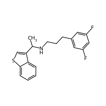 CC(NCCCc1cc(F)cc(F)c1)c1csc2ccccc12